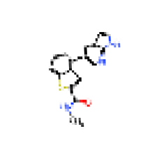 CNC(=O)c1cc2c(-c3cnc4[nH]ccc4c3)cccc2s1